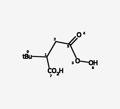 CC(C)(C)C(CC(=O)OO)C(=O)O